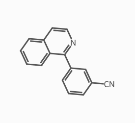 N#Cc1cccc(-c2nccc3ccccc23)c1